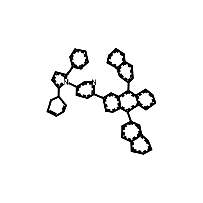 C1=CCC(c2ccc(-c3ccccc3)n2-c2ccc(-c3ccc4c(-c5ccc6ccccc6c5)c5ccccc5c(-c5ccc6ccccc6c5)c4c3)nc2)C=C1